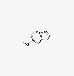 COc1ccc2[c]s[c]c2c1